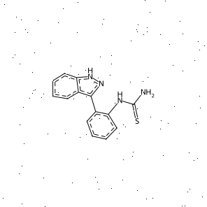 NC(=S)Nc1ccccc1-c1n[nH]c2ccccc12